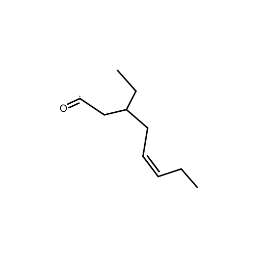 CC/C=C\CC(CC)C[C]=O